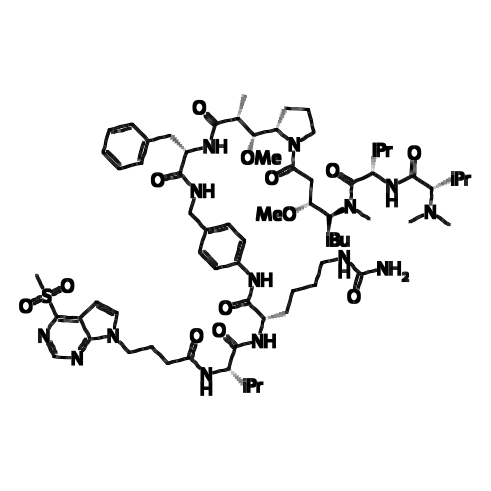 CC[C@H](C)[C@@H]([C@@H](CC(=O)N1CCC[C@H]1[C@H](OC)[C@@H](C)C(=O)N[C@@H](Cc1ccccc1)C(=O)NCc1ccc(NC(=O)[C@H](CCCCNC(N)=O)NC(=O)[C@@H](NC(=O)CCCn2ccc3c(S(C)(=O)=O)ncnc32)C(C)C)cc1)OC)N(C)C(=O)[C@@H](NC(=O)[C@H](C(C)C)N(C)C)C(C)C